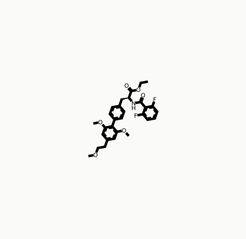 CCOC(=O)[C@H](Cc1ccc(-c2c(OC)cc(CCOC)cc2OC)cc1)NC(=O)c1c(F)cccc1F